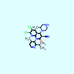 Cc1ccnc(C(C)C)c1-n1c(=O)c(C#N)c(N2CCNCC2C)c2cc(Cl)c(Cl)nc21